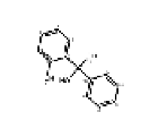 Oc1ccccc1C(O)(O)c1ccccc1